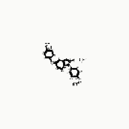 CCOC(=O)c1cc2cc(Oc3ccc(C(F)(F)F)cc3)ccc2n1-c1ccc(OC(C)C)cc1